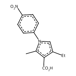 CCc1cn(-c2ccc([N+](=O)[O-])cc2)c(C)c1C(=O)O